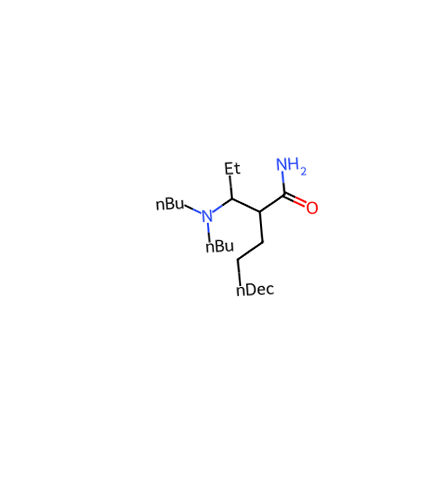 CCCCCCCCCCCCC(C(N)=O)C(CC)N(CCCC)CCCC